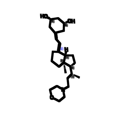 C[C@H](CCN1CCOCC1)[C@H]1CC[C@H]2/C(=C/C=C3C[C@@H](O)C[C@H](O)C3)CCC[C@]12C